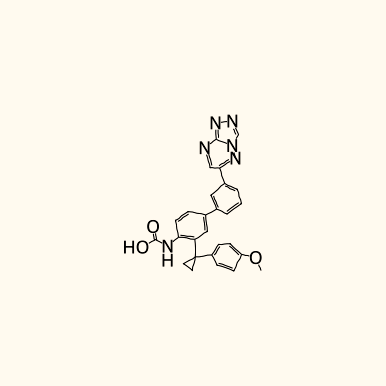 COc1ccc(C2(c3cc(-c4cccc(-c5cnc6nncn6n5)c4)ccc3NC(=O)O)CC2)cc1